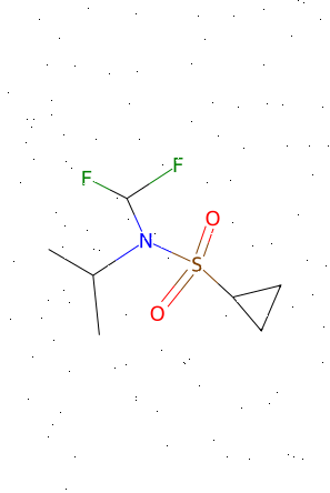 CC(C)N(C(F)F)S(=O)(=O)C1CC1